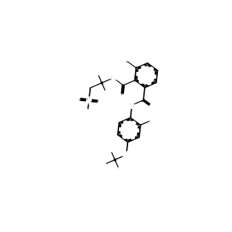 CC(C)(CS(C)(=O)=O)NC(=O)c1c(I)cccc1C(=O)Nc1ccc(OC(F)(F)F)cc1Cl